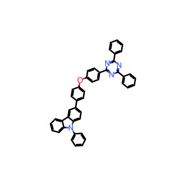 c1ccc(-c2nc(-c3ccccc3)nc(-c3ccc(Oc4ccc(-c5ccc6c(c5)c5ccccc5n6-c5ccccc5)cc4)cc3)n2)cc1